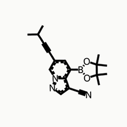 CC(C)C#Cc1cc(B2OC(C)(C)C(C)(C)O2)c2c(C#N)cnn2c1